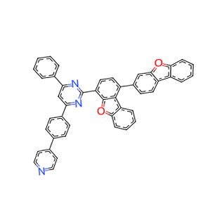 c1ccc(-c2cc(-c3ccc(-c4ccncc4)cc3)nc(-c3ccc(-c4ccc5c(c4)oc4ccccc45)c4c3oc3ccccc34)n2)cc1